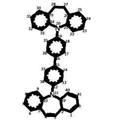 C1=CC2C=Cc3ccccc3N(c3ccc(-c4ccc(N5c6ccccc6CCc6ccccc65)cc4)cc3)C2C=C1